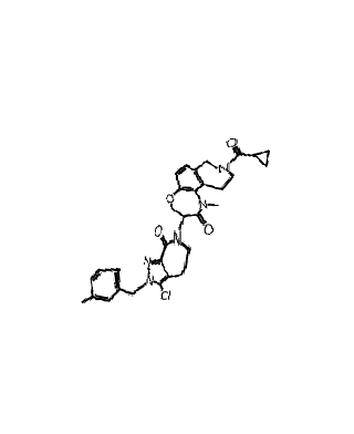 Cc1cccc(Cn2nc3c(c2Cl)CCN([C@H]2COc4ccc5c(c4N(C)C2=O)CCN(C(=O)C2CC2)C5)C3=O)c1